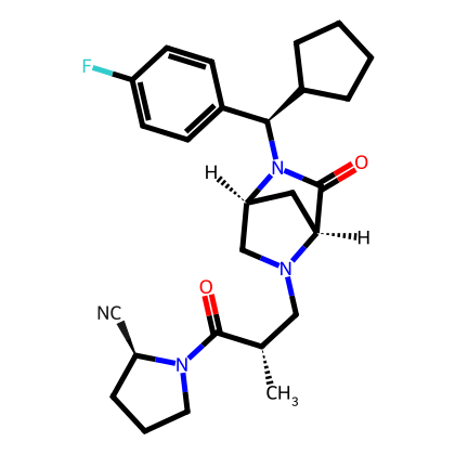 C[C@@H](CN1C[C@@H]2C[C@H]1C(=O)N2[C@@H](c1ccc(F)cc1)C1CCCC1)C(=O)N1CCC[C@H]1C#N